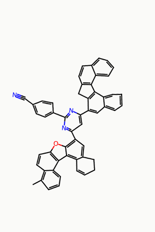 Cc1cccc2c1ccc1oc3c(-c4cc(-c5cc6ccccc6c6c5Cc5ccc7ccccc7c5-6)nc(-c5ccc(C#N)cc5)n4)cc4c(c3c12)C=CCC4